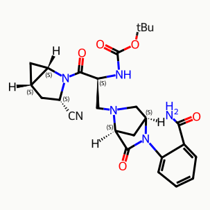 CC(C)(C)OC(=O)N[C@@H](CN1C[C@@H]2C[C@H]1C(=O)N2c1ccccc1C(N)=O)C(=O)N1[C@H](C#N)C[C@@H]2C[C@@H]21